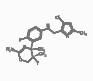 Cn1cc(Cl)c(CNc2ccc(F)c([C@@]3(C)N=C(N)OC[C@]3(C)F)c2)n1